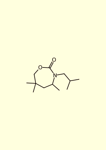 CC(C)CN1C(=O)OCC(C)(C)CC1C